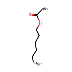 CCC[CH]C(=O)OCCCCCCCCCCCC